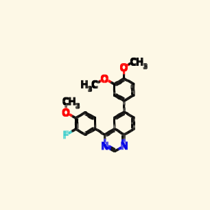 COc1ccc(-c2ncnc3ccc(-c4ccc(OC)c(OC)c4)cc23)cc1F